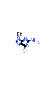 CCn1cnc2c(Cl)nc(N)nc21